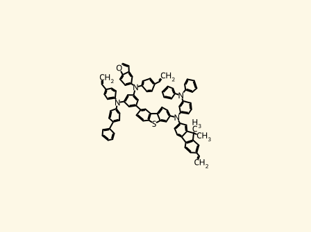 C=Cc1ccc(N(c2ccc(-c3ccccc3)cc2)c2cc(-c3ccc4sc5cc(N(c6cccc(N(c7ccccc7)c7ccccc7)c6)c6ccc7c(c6)C(C)(C)c6cc(C=C)ccc6-7)ccc5c4c3)cc(N(c3ccc(C=C)cc3)c3ccc4occc4c3)c2)cc1